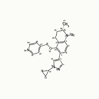 CC(=O)N1c2ccc(-c3cnn(C4CC4)c3)c(OCc3ccncc3)c2CC[C@@H]1C